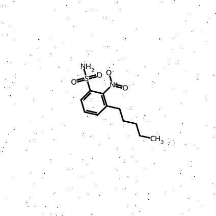 CCCCCc1cccc(S(N)(=O)=O)c1[N+](=O)[O-]